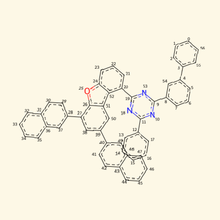 c1ccc(-c2cccc(-c3nc(-c4ccccc4)nc(-c4cccc5oc6c(-c7ccc8ccccc8c7)cc(-c7ccc8ccccc8c7)cc6c45)n3)c2)cc1